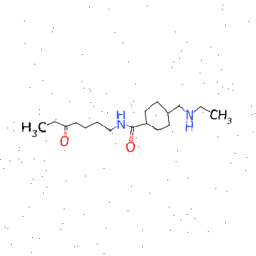 CCNCC1CCC(C(=O)NCCCCC(=O)CC)CC1